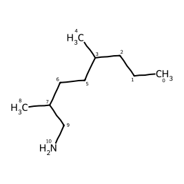 CCCC(C)CCC(C)CN